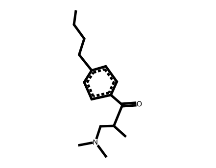 CCCCc1ccc(C(=O)C(C)CN(C)C)cc1